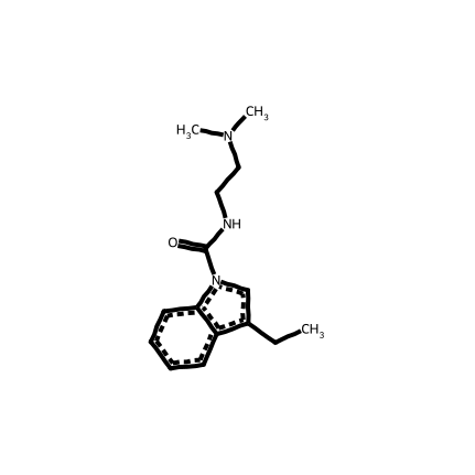 CCc1cn(C(=O)NCCN(C)C)c2ccccc12